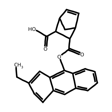 CCc1ccc2cc3ccccc3c(OC(=O)C3C4C=CC(C4)C3C(=O)O)c2c1